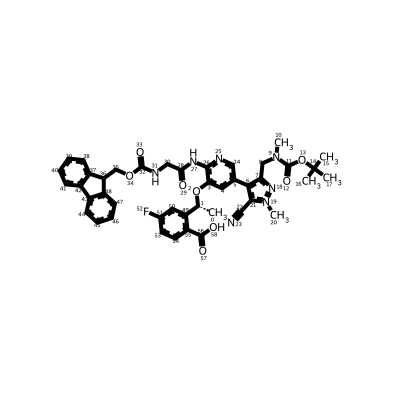 C[C@@H](Oc1cc(-c2c(CN(C)C(=O)OC(C)(C)C)nn(C)c2C#N)cnc1NC(=O)CNC(=O)OCC1c2ccccc2-c2ccccc21)c1cc(F)ccc1C(=O)O